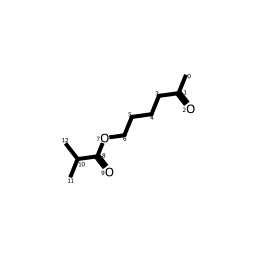 CC(=O)CCCCOC(=O)C(C)C